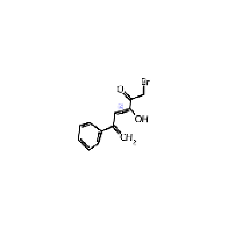 C=C(/C=C(\O)C(=O)CBr)c1ccccc1